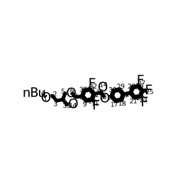 CCCCOCCC1COC(c2cc(F)c(C(=O)Oc3ccc(-c4cc(F)c(F)c(F)c4)cc3)c(F)c2)OC1